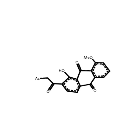 COc1cccc2c1C(=O)c1c(ccc(C(=O)CC(C)=O)c1O)C2=O